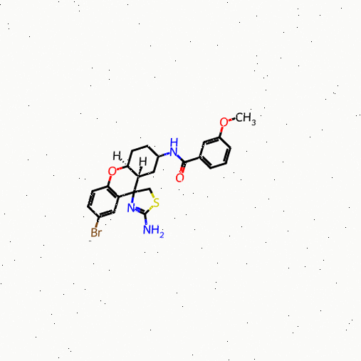 COc1cccc(C(=O)NC2CC[C@@H]3Oc4ccc(Br)cc4C4(CSC(N)=N4)[C@H]3C2)c1